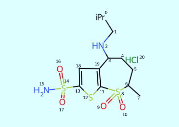 CC(C)CNC1CCC(C)S(=O)(=O)c2sc(S(N)(=O)=O)cc21.Cl